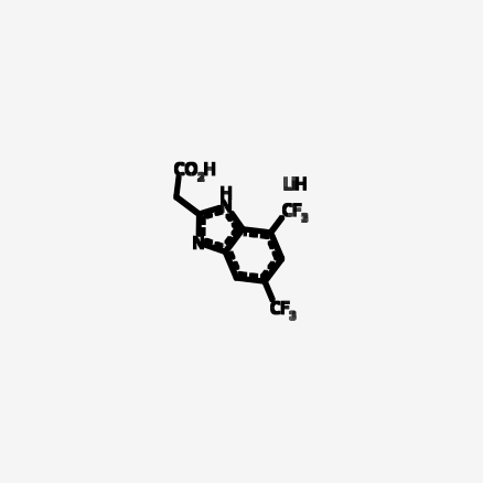 O=C(O)Cc1nc2cc(C(F)(F)F)cc(C(F)(F)F)c2[nH]1.[LiH]